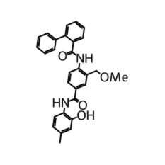 COCc1cc(C(=O)Nc2ccc(C)cc2O)ccc1NC(=O)c1ccccc1-c1ccccc1